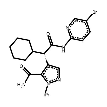 CC(C)n1ncc([C@@H](C(=O)Nc2ccc(Br)cn2)C2CCCCC2)c1C(N)=O